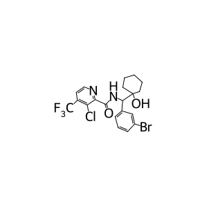 O=C(NC(c1cccc(Br)c1)C1(O)CCCCC1)c1nccc(C(F)(F)F)c1Cl